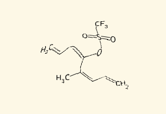 C=C/C=C(C)\C(=C/C=C)OS(=O)(=O)C(F)(F)F